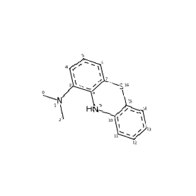 CN(C)c1cccc2c1Nc1ccccc1S2